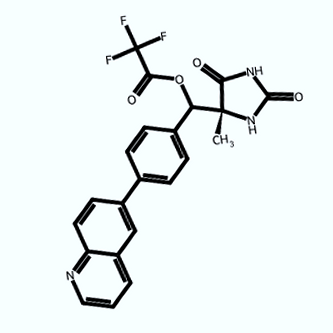 C[C@]1(C(OC(=O)C(F)(F)F)c2ccc(-c3ccc4ncccc4c3)cc2)NC(=O)NC1=O